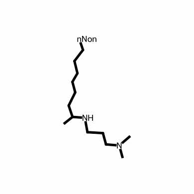 CCCCCCCCCCCCCCCC(C)NCCCN(C)C